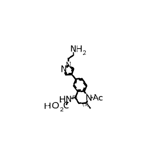 CC(=O)N1c2ccc(-c3cnn(CCN)c3)cc2[C@H](NC(=O)O)C[C@@H]1C